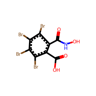 O=C(O)c1c(Br)c(Br)c(Br)c(Br)c1C(=O)NO